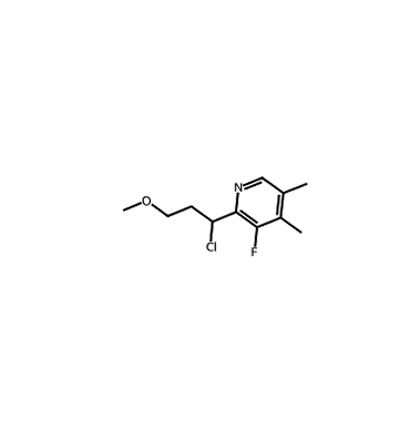 COCCC(Cl)c1ncc(C)c(C)c1F